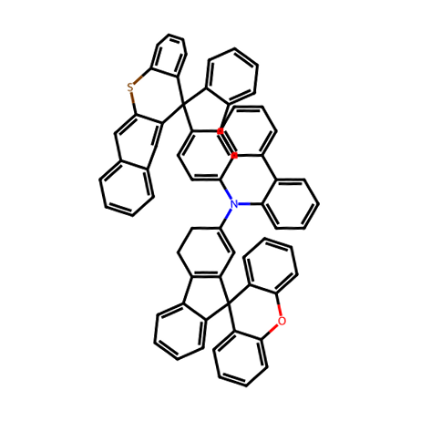 C1=C(N(c2ccc3c(c2)-c2ccccc2C32c3ccccc3Sc3cc4ccccc4cc32)c2ccccc2-c2ccccc2)CCC2=C1C1(c3ccccc3Oc3ccccc31)c1ccccc12